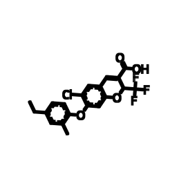 CCc1ccc(Oc2cc3c(cc2Cl)C=C(C(=O)O)C(C(F)(F)F)O3)c(C)c1